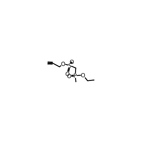 C#CCOS(=O)(=O)CP(C)(=O)OCC